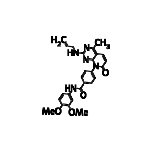 C=CCNc1nc(C)c2ccc(=O)n(-c3ccc(C(=O)Nc4ccc(OC)c(OC)c4)cc3)c2n1